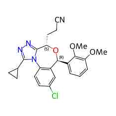 COc1cccc([C@@H]2O[C@@H](CCC#N)c3nnc(C4CC4)n3-c3ccc(Cl)cc32)c1OC